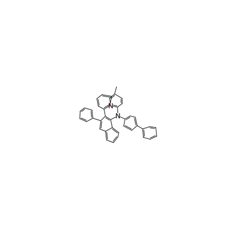 Cc1ccc(N(c2ccc(-c3ccccc3)cc2)c2c(-c3ccccc3)c(-c3ccccc3)cc3ccccc23)nc1